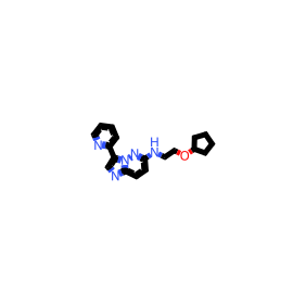 c1ccc(-c2cnc3ccc(NCCOC4CCCC4)nn23)nc1